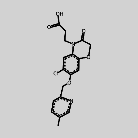 Cc1ccc(COc2cc3c(cc2Cl)N(CCC(=O)O)C(=O)CO3)nc1